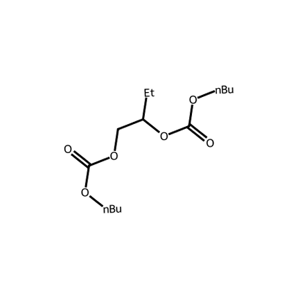 CCCCOC(=O)OCC(CC)OC(=O)OCCCC